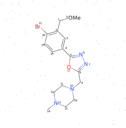 COCc1cc(-c2nnc(CN3CCN(C)CC3)o2)ccc1Br